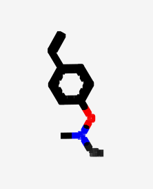 C=Cc1ccc(ON(C)C(C)(C)C)cc1